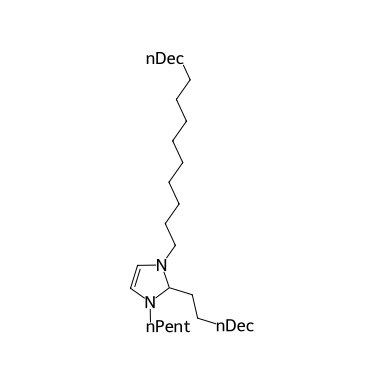 CCCCCCCCCCCCCCCCCCCN1C=CN(CCCCC)C1CCCCCCCCCCCC